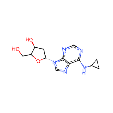 OCC1O[C@@H](n2cnc3c(NC4CC4)ncnc32)C[C@@H]1O